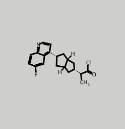 CC(C(=O)Cl)[C@H]1C[C@H]2C[C@@H](c3ccnc4ccc(F)cc34)C[C@H]2C1